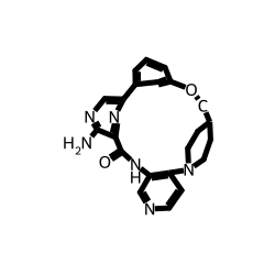 Nc1ncc2nc1C(=O)Nc1cnccc1N1CCC(CC1)COc1cccc-2c1